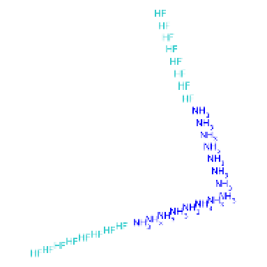 F.F.F.F.F.F.F.F.F.F.F.F.F.F.F.F.N.N.N.N.N.N.N.N.N.N.N.N.N.N.N